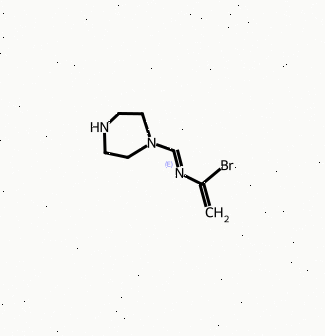 C=C(Br)/N=C/N1CCNCC1